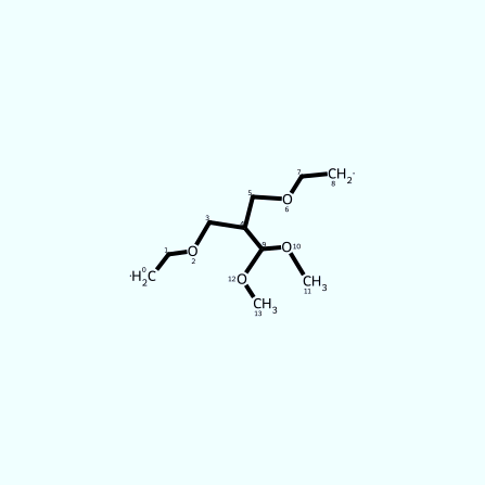 [CH2]COCC(COC[CH2])C(OC)OC